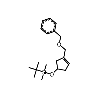 CC(C)(C)[Si](C)(C)OC1CC=C(COCc2ccccc2)C1